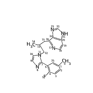 Cc1ccc(F)c(-c2nccn2CC(C)Cc2nccc3[nH]cnc23)c1